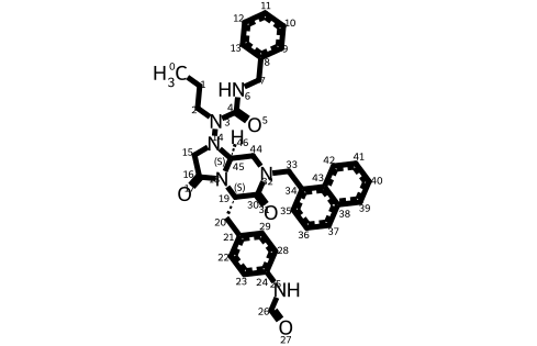 CCCN(C(=O)NCc1ccccc1)N1CC(=O)N2[C@@H](Cc3ccc(NC=O)cc3)C(=O)N(Cc3cccc4ccccc34)C[C@@H]21